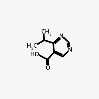 CC(C)c1ncncc1C(=O)O